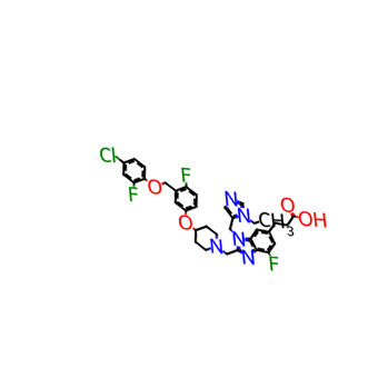 CCn1cncc1Cn1c(CN2CCC(Oc3ccc(F)c(COc4ccc(Cl)cc4F)c3)CC2)nc2c(F)cc(CCC(=O)O)cc21